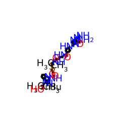 CCCCc1nc2c(NC(=O)OCCSSC(C)(C)CNC(=O)CCCNC(=O)c3ccc(NCc4cnc5nc(N)[nH]c(=O)c5n4)cc3)nc3ccccc3c2n1CC(C)(C)CO